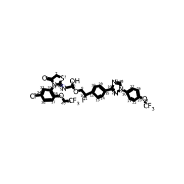 O=C1CS/C(=N\C(O)OCC(F)c2ccc(-c3ncn(-c4ccc(OC(F)(F)F)cc4)n3)cc2)N1c1cc(Cl)ccc1OCC(F)(F)F